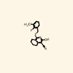 Cc1cccc(CSc2nc(O)c(C#N)c3c2CCCC3)c1F